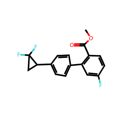 COC(=O)c1ccc(F)cc1-c1ccc(C2CC2(F)F)cc1